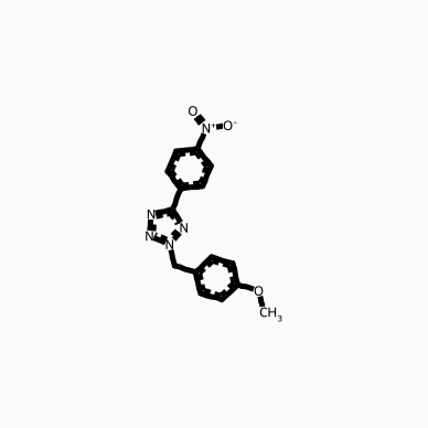 COc1ccc(Cn2nnc(-c3ccc([N+](=O)[O-])cc3)n2)cc1